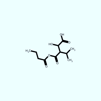 CCCC(=O)OC(=O)C(C(C)C)C(O)C(=O)O